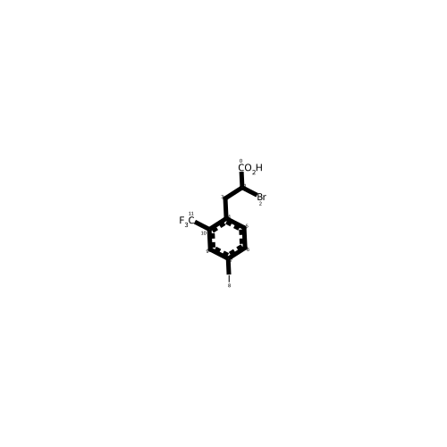 O=C(O)C(Br)Cc1ccc(I)cc1C(F)(F)F